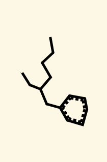 [CH2]CC(CCCC)Cc1ccccc1